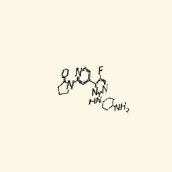 N[C@H]1CC[C@H](Nc2ncc(F)c(-c3ccnc(N4CCCC4=O)c3)n2)CC1